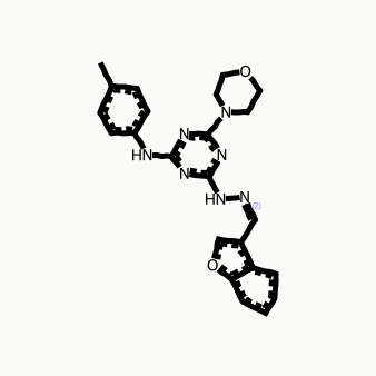 Cc1ccc(Nc2nc(N/N=C\c3coc4ccccc34)nc(N3CCOCC3)n2)cc1